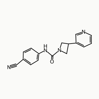 N#Cc1ccc(NC(=O)N2CC(c3cccnc3)C2)cc1